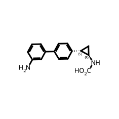 Nc1cccc(-c2ccc([C@@H]3C[C@H]3NC(=O)O)cc2)c1